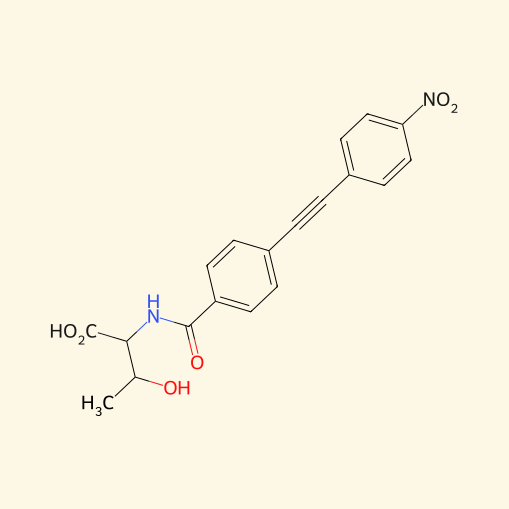 CC(O)C(NC(=O)c1ccc(C#Cc2ccc([N+](=O)[O-])cc2)cc1)C(=O)O